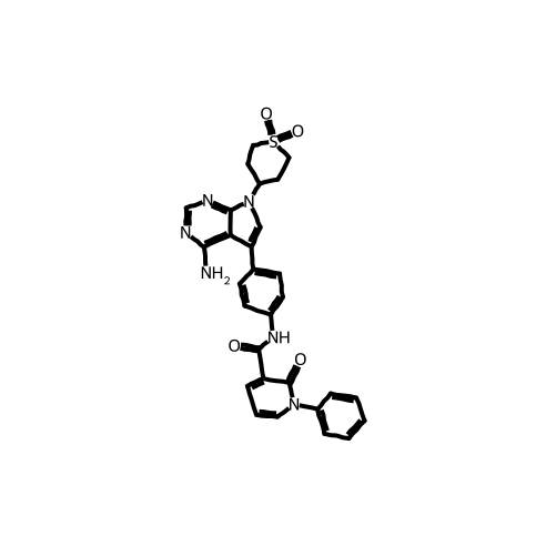 Nc1ncnc2c1c(-c1ccc(NC(=O)c3cccn(-c4ccccc4)c3=O)cc1)cn2C1CCS(=O)(=O)CC1